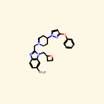 O=C(O)c1ccc2nc(CN3CCC(n4ccc(Oc5ccccc5)n4)CC3)n(CC3CCO3)c2c1